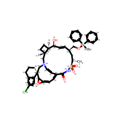 C[C@H]1C[C@H](CO[Si](c2ccccc2)(c2ccccc2)C(C)(C)C)/C=C/[C@H](O)[C@@H]2CC[C@H]2CN2C=CC(=CC=C3OC3[C@]3(CCCc4cc(Cl)ccc43)C2)C(=O)NS1(=O)=O